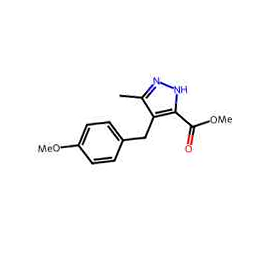 COC(=O)c1[nH]nc(C)c1Cc1ccc(OC)cc1